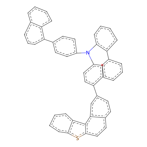 c1ccc(-c2ccccc2N(c2ccc(-c3ccc4ccc5sc6ccccc6c5c4c3)cc2)c2ccc(-c3cccc4ccccc34)cc2)cc1